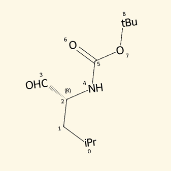 CC(C)C[C@H](C=O)NC(=O)OC(C)(C)C